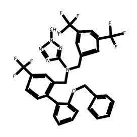 Cn1nnc(N(Cc2cc(C(F)(F)F)cc(C(F)(F)F)c2)Cc2cc(C(F)(F)F)ccc2-c2ccccc2OCc2ccccc2)n1